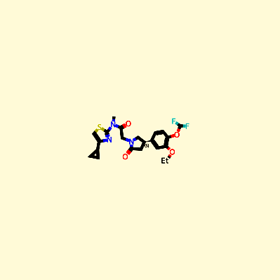 CCOc1cc([C@@H]2CC(=O)N(CC(=O)N(C)c3nc(C4CC4)cs3)C2)ccc1OC(F)F